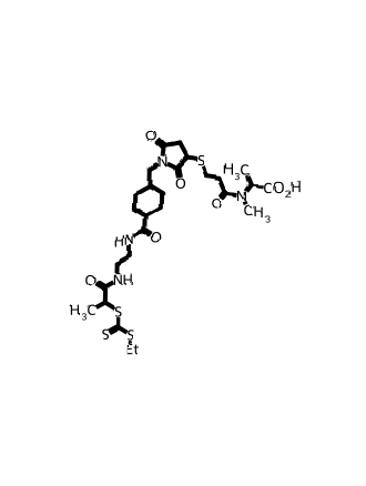 CCSC(=S)SC(C)C(=O)NCCNC(=O)C1CCC(CN2C(=O)CC(SCCC(=O)N(C)[C@@H](C)C(=O)O)C2=O)CC1